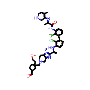 C=C(Nc1cccc(-c2cccc(NC(=O)/C(C)=N/C3=C(C)CCNC3)c2Cl)c1Cl)c1nc2c(n1C)CCN(CC1(CCO)CCC(C=O)C1)C2